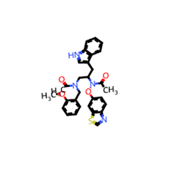 COc1ccccc1CN(CC(Cc1c[nH]c2ccccc12)N(Oc1ccc2ncsc2c1)C(C)=O)C(C)=O